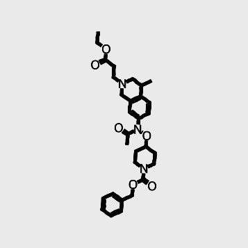 CCOC(=O)CCN1Cc2cc(N(OC3CCN(C(=O)OCc4ccccc4)CC3)C(C)=O)ccc2C(C)C1